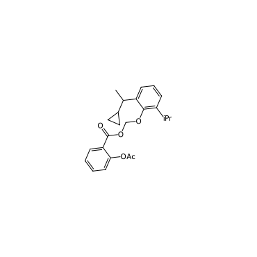 CC(=O)Oc1ccccc1C(=O)OCOc1c(C(C)C)cccc1C(C)C1CC1